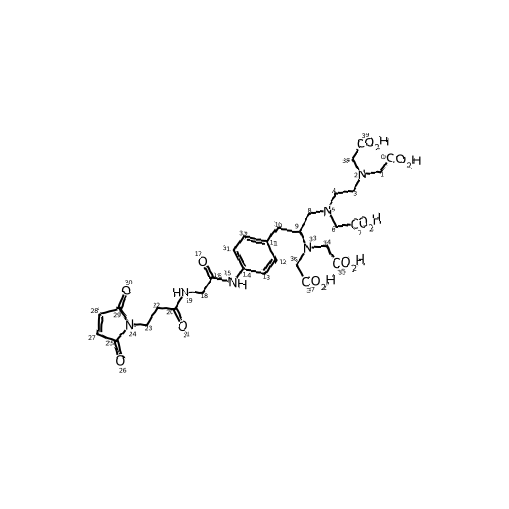 O=C(O)CN(CCN(CC(=O)O)CC(Cc1ccc(NC(=O)CNC(=O)CCN2C(=O)C=CC2=O)cc1)N(CC(=O)O)CC(=O)O)CC(=O)O